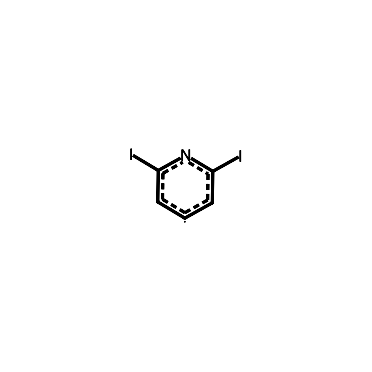 Ic1c[c]cc(I)n1